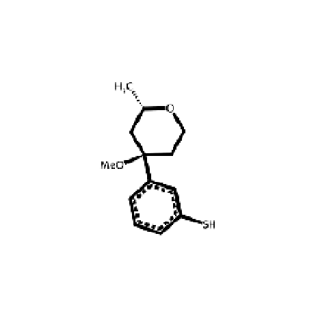 CO[C@]1(c2cccc(S)c2)CCO[C@@H](C)C1